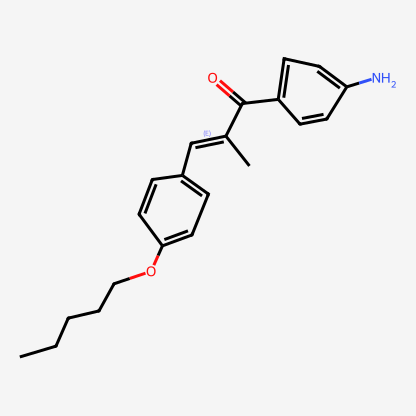 CCCCCOc1ccc(/C=C(\C)C(=O)c2ccc(N)cc2)cc1